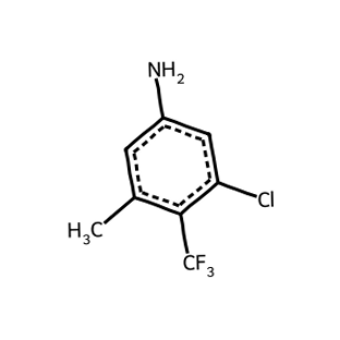 Cc1cc(N)cc(Cl)c1C(F)(F)F